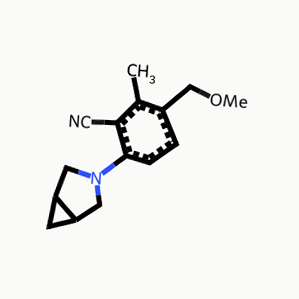 COCc1ccc(N2CC3CC3C2)c(C#N)c1C